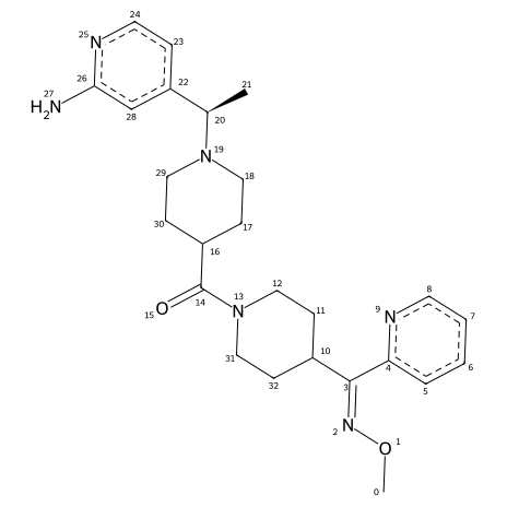 CO/N=C(\c1ccccn1)C1CCN(C(=O)C2CCN([C@H](C)c3ccnc(N)c3)CC2)CC1